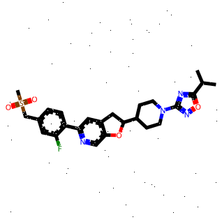 CC(C)c1nc(N2CCC(C3Cc4cc(-c5ccc(CS(C)(=O)=O)cc5F)ncc4O3)CC2)no1